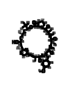 COc1ccc(C[C@@H]2NC(=O)/C(C)=C/[C@H]3CSC(=N3)[C@H](C)[C@@H](O)C[C@H](C)C[C@@H](C(C)(C)C)OC(=O)[C@@H]3CCCN3C(=O)C(C)N(C)C(=O)[C@H](C)N(C)C2=O)cc1